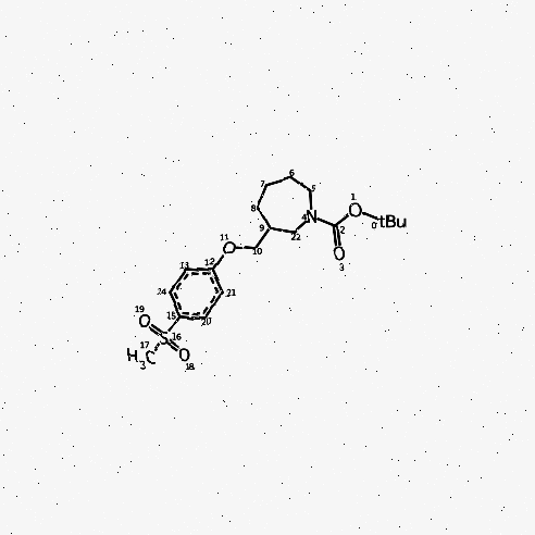 CC(C)(C)OC(=O)N1CCCCC(COc2ccc(S(C)(=O)=O)cc2)C1